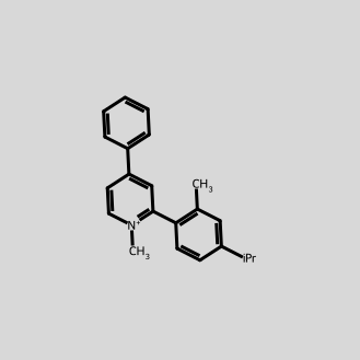 Cc1cc(C(C)C)ccc1-c1cc(-c2ccccc2)cc[n+]1C